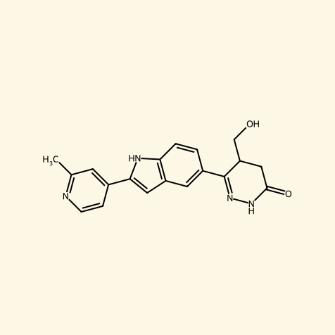 Cc1cc(-c2cc3cc(C4=NNC(=O)CC4CO)ccc3[nH]2)ccn1